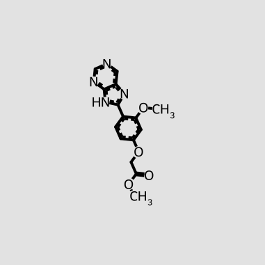 COC(=O)COc1ccc(-c2nc3cncnc3[nH]2)c(OC)c1